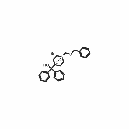 OC(c1ccccc1)(c1ccccc1)C12CC[N+](COCc3ccccc3)(CC1)CC2.[Br-]